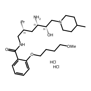 COCCCCOc1ccccc1C(=O)NC[C@@H](C[C@H](N)[C@@H](O)CN1CCC(C)CC1)C(C)C.Cl.Cl